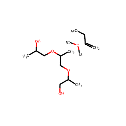 C=CCOC(C)=O.CC(O)COC(C)COC(C)CO.CCOCC